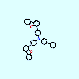 C1=Cc2c(oc3c(-c4ccc(N(C5=CC=C(c6cccc7c6oc6ccccc67)CC5)c5ccc(-c6ccccc6)cc5)cc4)cccc23)CC1